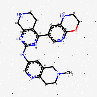 CN1CCc2ncc(Nc3nc4c(c(-c5cnc6c(c5)NCCO6)n3)CCNC4)cc2C1